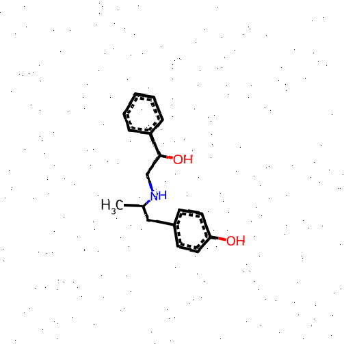 CC(Cc1ccc(O)cc1)NCC(O)c1ccccc1